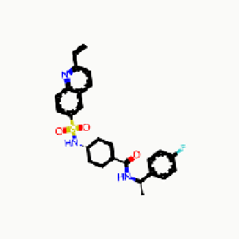 C=Cc1ccc2cc(S(=O)(=O)N[C@H]3CC[C@H](C(=O)N[C@H](C)c4ccc(F)cc4)CC3)ccc2n1